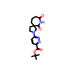 CC(C)(C)OC(=O)c1ccc(N2CCC3(CCCC(=O)NC3=O)C2)nn1